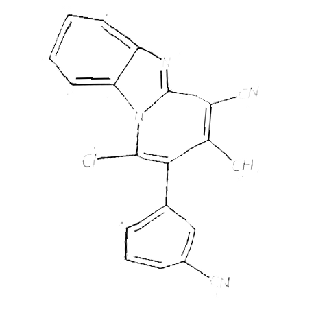 Cc1c(-c2cccc(C#N)c2)c(Cl)n2c(nc3ccccc32)c1C#N